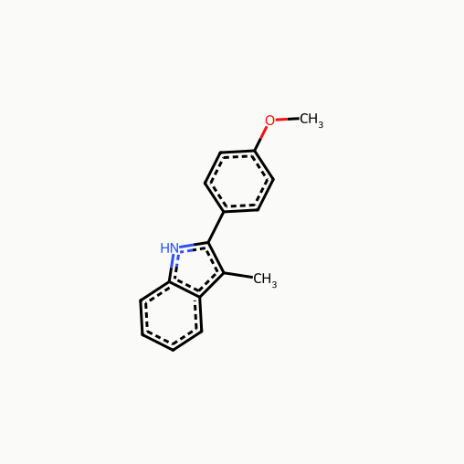 COc1ccc(-c2[nH]c3ccccc3c2C)cc1